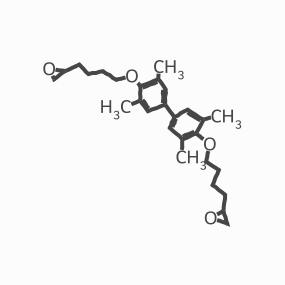 Cc1cc(-c2cc(C)c(OCCCCC3CO3)c(C)c2)cc(C)c1OCCCCC1CO1